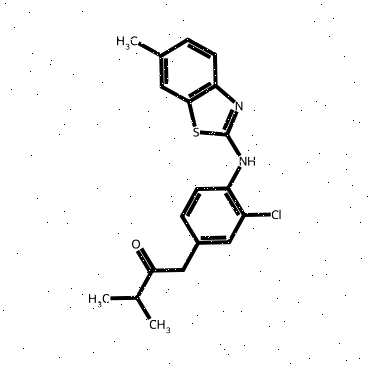 Cc1ccc2nc(Nc3ccc(CC(=O)C(C)C)cc3Cl)sc2c1